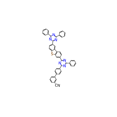 N#Cc1cccc(-c2ccc(-c3nc(-c4ccccc4)nc(-c4ccc5c(c4)sc4ccc(-c6nc(-c7ccccc7)nc(-c7ccccc7)n6)cc45)n3)cc2)c1